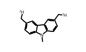 [2H]Cc1ccc2c(c1)c1cc(C[2H])ccc1n2C